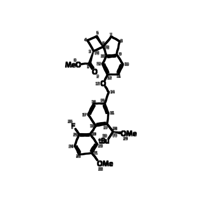 COC(=O)[C@H]1CC[C@]12CCc1ccc(OCc3ccc(-c4cc(OC)ccc4F)c([C@@H](OC)C(C)(C)C)c3)cc12